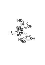 C=C(C)C(=O)O.OCC(CO)(CO)CO.OCC(CO)(CO)CO